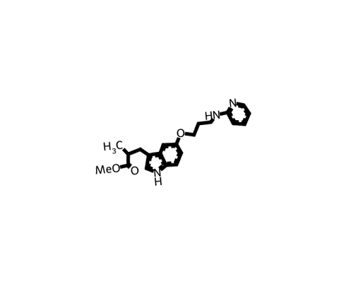 COC(=O)C(C)Cc1c[nH]c2ccc(OCCCNc3ccccn3)cc12